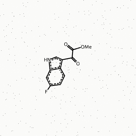 COC(=O)C(=O)c1c[nH]c2cc(F)ccc12